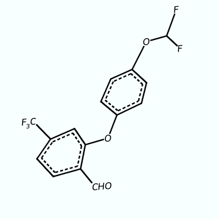 O=Cc1ccc(C(F)(F)F)cc1Oc1ccc(OC(F)F)cc1